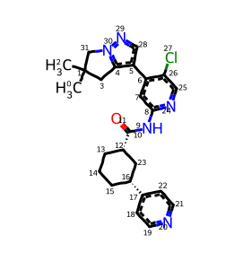 CC1(C)Cc2c(-c3cc(NC(=O)[C@H]4CCC[C@@H](c5ccncc5)C4)ncc3Cl)cnn2C1